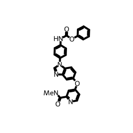 CNC(=O)c1cc(Oc2ccc3c(c2)ncn3-c2ccc(NC(=O)Oc3ccccc3)cc2)ccn1